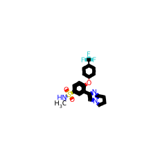 CNS(=O)(=O)c1ccc(O[C@H]2CC[C@H](C(F)(F)F)CC2)c(-c2cn3c(n2)CCC3)c1